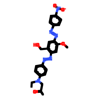 CCN(CC(C)=O)c1ccc(N=Nc2cc(OC)c(N=Nc3ccc([N+](=O)[O-])cc3)cc2CO)cc1